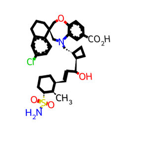 C[C@H]1[C@H](/C=C/C(O)[C@@H]2CC[C@H]2CN2C[C@@]3(CCCc4cc(Cl)ccc43)COc3ccc(C(=O)O)cc32)CCC[C@H]1S(N)(=O)=O